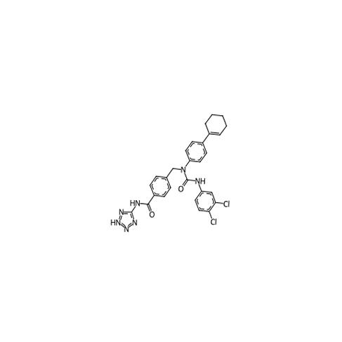 O=C(Nc1nn[nH]n1)c1ccc(CN(C(=O)Nc2ccc(Cl)c(Cl)c2)c2ccc(C3=CCCCC3)cc2)cc1